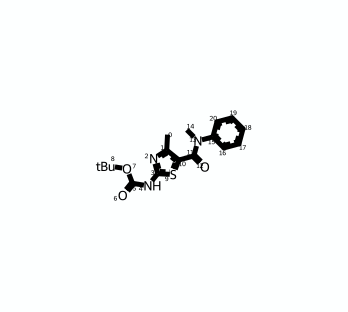 Cc1nc(NC(=O)OC(C)(C)C)sc1C(=O)N(C)c1ccccc1